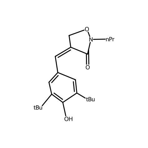 CCCN1OCC(=Cc2cc(C(C)(C)C)c(O)c(C(C)(C)C)c2)C1=O